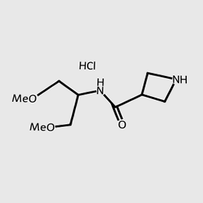 COCC(COC)NC(=O)C1CNC1.Cl